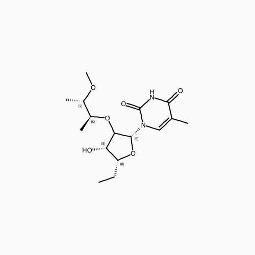 CC[C@H]1O[C@@H](n2cc(C)c(=O)[nH]c2=O)C(O[C@@H](C)[C@H](C)OC)[C@H]1O